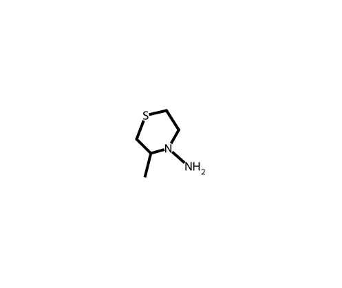 CC1CSCCN1N